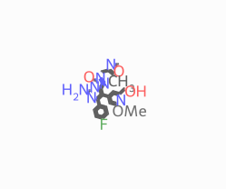 COc1cc(-c2c(-c3ccc(F)cc3)nc(N)n3c(=O)n(Cc4ncoc4C)nc23)cc(CO)n1